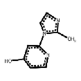 Cc1nccn1-c1cc(O)ccn1